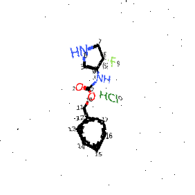 Cl.O=C(N[C@H]1CNC[C@@H]1F)OCc1ccccc1